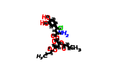 CCCC(=O)O[C@@H]1COC(OC(=O)[C@@H](N)CC(Cl)c2ccc(O)c(O)c2)[C@H](OC(=O)CCC)C1